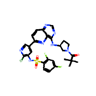 CC(C)(C)C(=O)N1CCC(Nc2ncnc3ccc(-c4cnc(Cl)c(NS(=O)(=O)c5ccc(F)cc5F)c4)nc23)C1